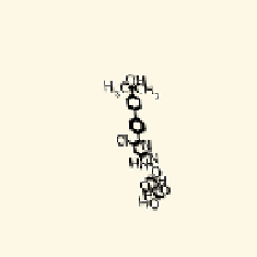 CC(C)(O)c1ccc(-c2ccc(-c3nc4nc(O[C@H]5CO[C@@H]6[C@H]5OC[C@H]6O)[nH]c4cc3Cl)cc2)cc1